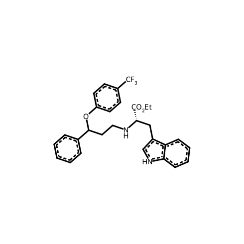 CCOC(=O)[C@H](Cc1c[nH]c2ccccc12)NCCC(Oc1ccc(C(F)(F)F)cc1)c1ccccc1